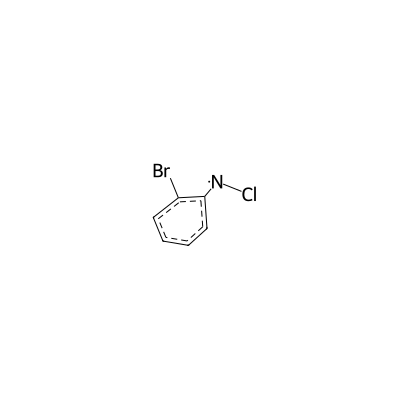 Cl[N]c1ccccc1Br